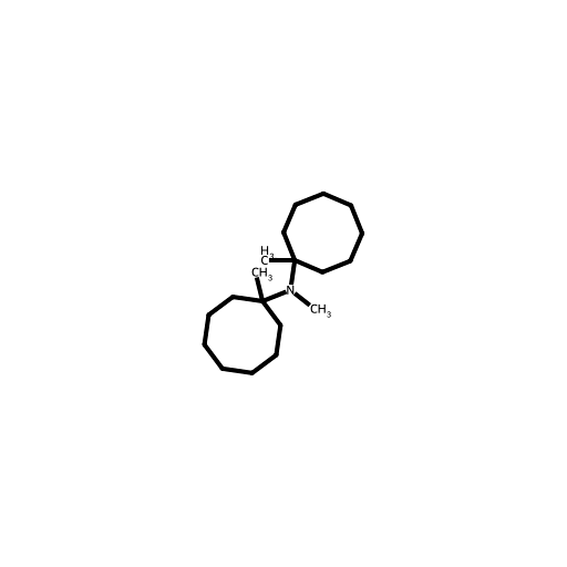 CN(C1(C)CCCCCCC1)C1(C)CCCCCCC1